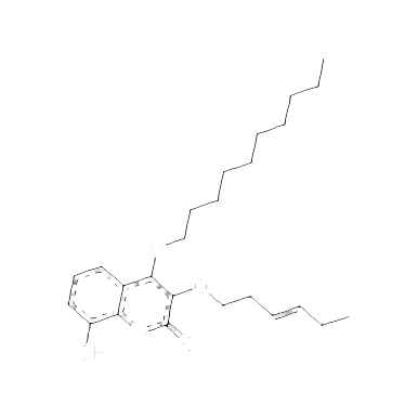 CC/C=C/CCOc1c(OCCCCCCCCCC)c2cccc(O)c2oc1=O